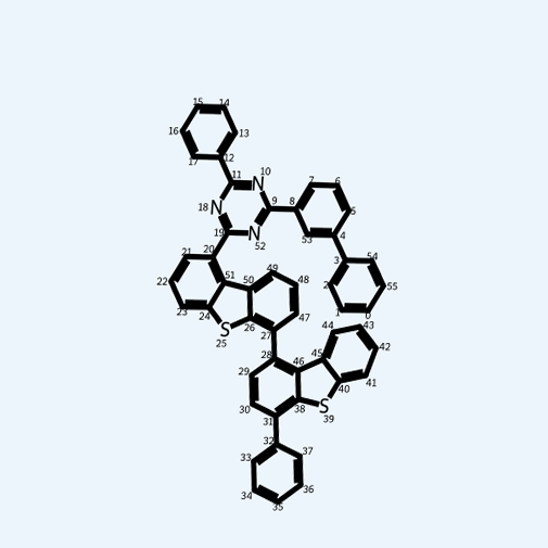 c1ccc(-c2cccc(-c3nc(-c4ccccc4)nc(-c4cccc5sc6c(-c7ccc(-c8ccccc8)c8sc9ccccc9c78)cccc6c45)n3)c2)cc1